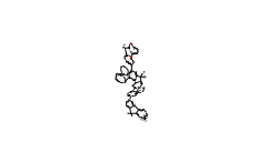 CC1(C)c2ccccc2-c2cc(-c3ccc4c(c3)oc3cc5c(cc34)-c3c(cc(-c4ccc6c(c4)-c4ccccc4C6(C)C)c4oc6ccccc6c34)C5(C)C)ccc21